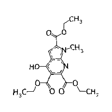 CCOC(=O)c1nc2c(cc(C(=O)OCC)n2C)c(O)c1C(=O)OCC